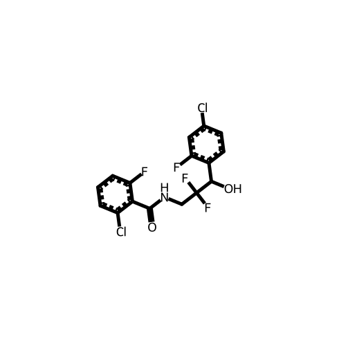 O=C(NCC(F)(F)C(O)c1ccc(Cl)cc1F)c1c(F)cccc1Cl